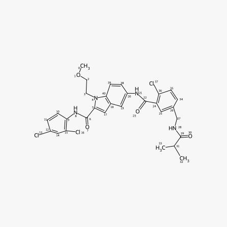 COCCn1c(C(=O)Nc2ccc(Cl)cc2Cl)cc2cc(NC(=O)c3cc(CNC(=O)C(C)C)ccc3Cl)ccc21